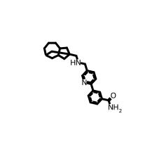 NC(=O)c1cccc(-c2ccc(CNCC34CC5CCCC(C3)C(C5)C4)cn2)c1